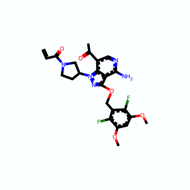 C=CC(=O)N1CCC(n2nc(OCc3c(F)c(OC)cc(OC)c3F)c3c(N)ncc(C(C)=O)c32)C1